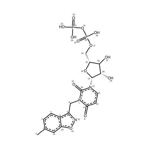 Cc1ccc2c(Cn3c(=O)ccn([C@@H]4O[C@H](COP(=O)(O)OP(=O)(O)O)C(O)[C@@H]4O)c3=O)noc2c1